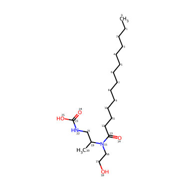 CCCCCCCCCCCCCC(=O)N(CCO)C(C)CNC(=O)O